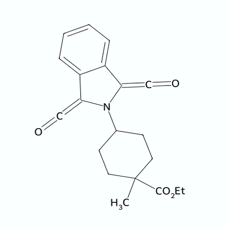 CCOC(=O)C1(C)CCC(n2c(=C=O)c3ccccc3c2=C=O)CC1